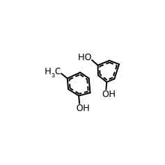 Cc1cccc(O)c1.Oc1cccc(O)c1